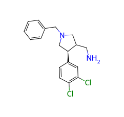 NCC1CN(Cc2ccccc2)C[C@@H]1c1ccc(Cl)c(Cl)c1